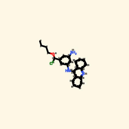 CCCCOC(Cl)c1cc(N)cc(Nc2c3ccccc3nc3ccccc23)c1